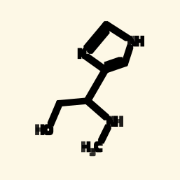 CNC(CO)c1c[nH]cn1